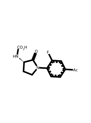 CC(=O)c1ccc(N2CC[C@H](NC(=O)O)C2=O)c(F)c1